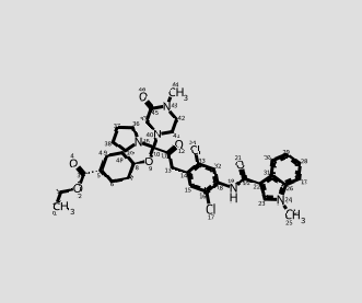 CCOC(=O)[C@H]1CC[C@H](OC(C(=O)Cc2cc(Cl)c(NC(=O)c3cn(C)c4ccccc34)cc2Cl)(N2CCCC2)N2CCN(C)C(=O)C2)CC1